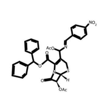 CC(=O)OC(N=Cc1ccc([N+](=O)[O-])cc1)C1=C(C(=O)OC(c2ccccc2)c2ccccc2)N2C(=O)[C@H](OC(C)=O)[C@H]2SC1